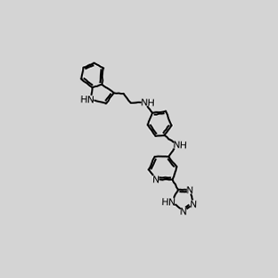 c1ccc2c(CCNc3ccc(Nc4ccnc(-c5nnn[nH]5)c4)cc3)c[nH]c2c1